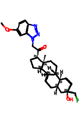 COc1ccc2nnn(CC(=O)[C@H]3CC[C@H]4[C@@H]5CC[C@H]6C[C@@](O)(CF)CC[C@@H]6[C@H]5CC[C@]34C)c2c1